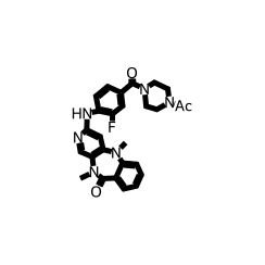 CC(=O)N1CCN(C(=O)c2ccc(Nc3cc4c(cn3)N(C)C(=O)c3ccccc3N4C)c(F)c2)CC1